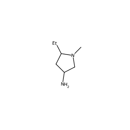 CCC1CC(N)CN1C